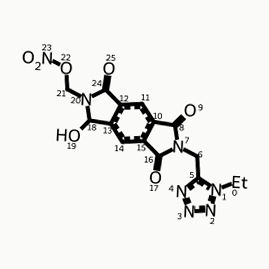 CCn1nnnc1CN1C(=O)c2cc3c(cc2C1=O)C(O)N(CO[N+](=O)[O-])C3=O